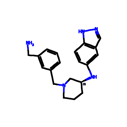 NCc1cccc(CN2CCC[C@H](Nc3ccc4[nH]ncc4c3)C2)c1